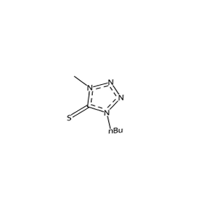 CCCCn1nnn(C)c1=S